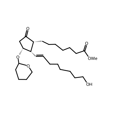 COC(=O)CCCCCC[C@H]1C(=O)C[C@@H](OC2CCCCO2)[C@H]1C=CCCCCCCO